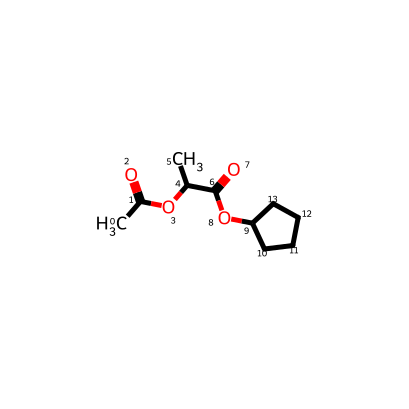 CC(=O)OC(C)C(=O)OC1CCCC1